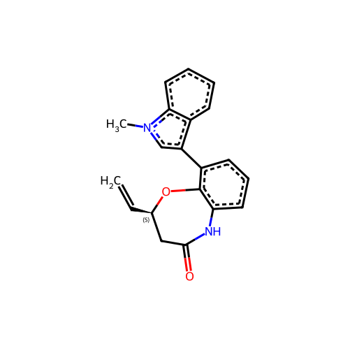 C=C[C@@H]1CC(=O)Nc2cccc(-c3cn(C)c4ccccc34)c2O1